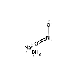 B.O=N[O-].[Na+]